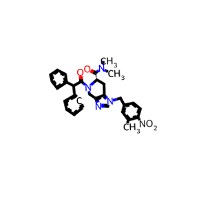 Cc1cc(Cn2cnc3c2C[C@@H](C(=O)N(C)C)N(C(=O)C(c2ccccc2)c2ccccc2)C3)ccc1[N+](=O)[O-]